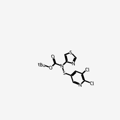 CC(C)(C)OC(=O)N(Sc1cnc(Cl)c(Cl)c1)c1cscn1